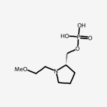 COCCN1CCC[C@H]1COP(=O)(O)O